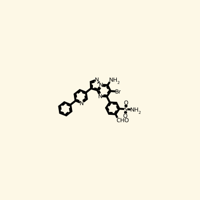 Nc1c(Br)c(-c2ccc(C=O)c(S(N)(=O)=O)c2)nc2c(-c3ccc(-c4ccccc4)nc3)cnn12